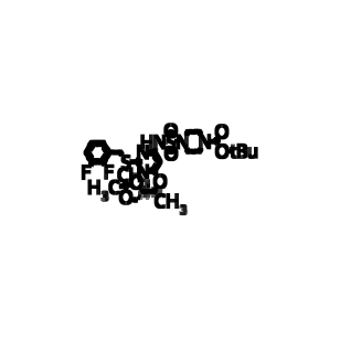 C[C@@H](Oc1cc(NS(=O)(=O)N2CCN(C(=O)OC(C)(C)C)CC2)nc(SCc2cccc(F)c2F)n1)[C@@H]1COC(C)(C)O1